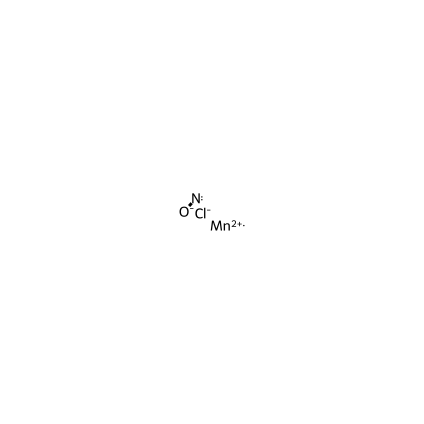 [Cl-].[Mn+2].[N][O-]